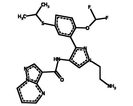 CC(C)Sc1ccc(OC(F)F)c(-c2nn(CCN)cc2NC(=O)c2cnn3cccnc23)c1